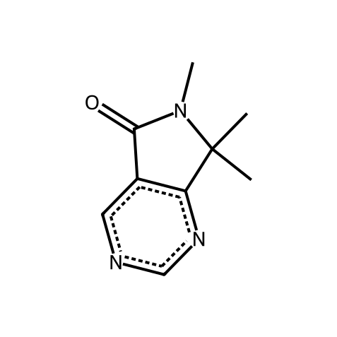 CN1C(=O)c2cncnc2C1(C)C